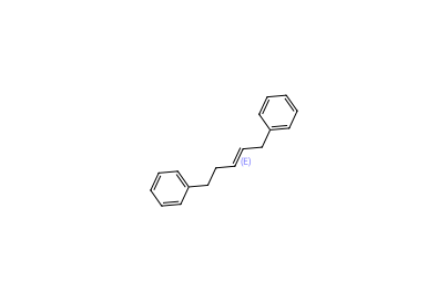 C(=C\Cc1ccccc1)/CCc1ccccc1